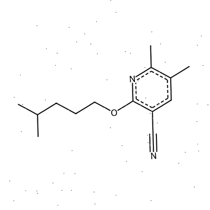 Cc1cc(C#N)c(OCCCC(C)C)nc1C